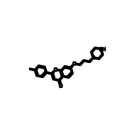 Cc1ccc(-c2cc(=O)c3ccc(OCCCN4CCNCC4)cc3o2)cc1